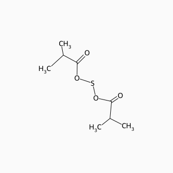 CC(C)C(=O)OSOC(=O)C(C)C